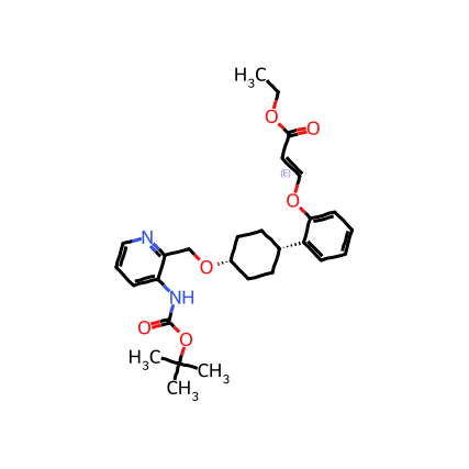 CCOC(=O)/C=C/Oc1ccccc1[C@H]1CC[C@@H](OCc2ncccc2NC(=O)OC(C)(C)C)CC1